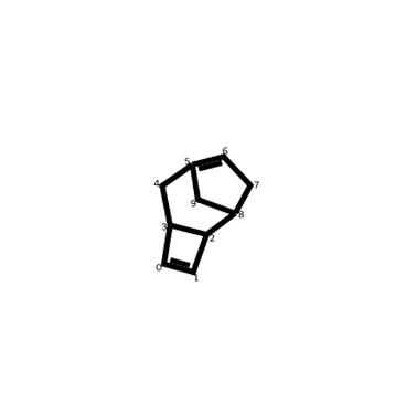 C1=CC2C1CC1=CCC2C1